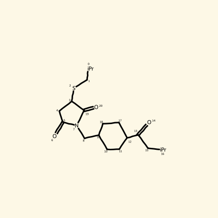 CC(C)CSC1CC(=O)N(CC2CCC(C(=O)CC(C)C)CC2)C1=O